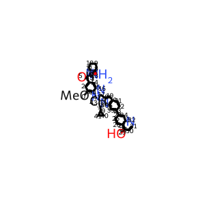 COc1cc(C(=O)N2CC3CCC2[C@@H]3N)cc2nc(-c3cc4ccc(-c5ccc6c(O)ccnc6c5)cc4n3CC3CC3)n(C)c12